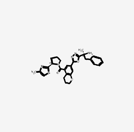 Cc1csc([C@H]2CCCN2C(=O)c2cc(-c3nnc([C@@](C)(N)Cc4ccccc4)o3)cc3c2CCCO3)n1